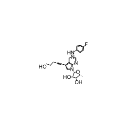 C[C@H]1O[C@@H](n2cc(C#CCCCO)c3c2N=CN(Nc2ccc(F)cc2)C3)[C@H](O)[C@@H]1O